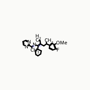 C=C/C(CC(C)c1ccc(F)c(OC)c1)=C(\N=C(/C)c1ncccn1)C1CCCCC1